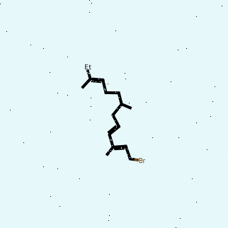 CCC(C)=CCCC(C)CC=CC(C)=CCBr